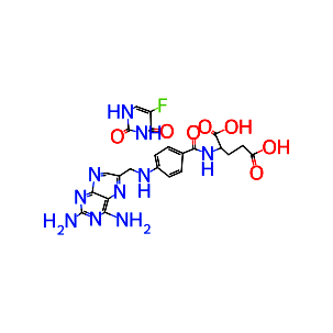 Nc1nc(N)c2nc(CNc3ccc(C(=O)NC(CCC(=O)O)C(=O)O)cc3)cnc2n1.O=c1[nH]cc(F)c(=O)[nH]1